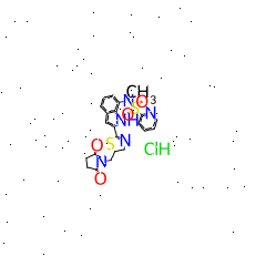 CN(c1cccc2cc(C3=NCC(CN4C(=O)CCC4=O)S3)[nH]c12)S(=O)(=O)c1ccccn1.Cl